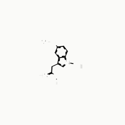 COc1ccc2c(c1)c(CC(=N)OC(C)C)cn2C.Cl